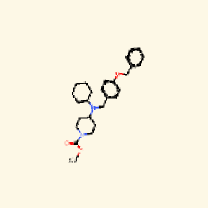 CC(C)(C)OC(=O)N1CCC(N(Cc2ccc(OCc3ccccc3)cc2)C2CCCCC2)CC1